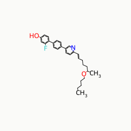 CCCCCOC(C)CCC/C=C/c1ccc(-c2ccc(-c3ccc(O)cc3F)cc2)cn1